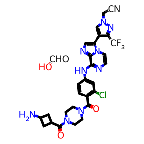 N#CCn1cc(-c2cnc3c(Nc4ccc(C(=O)N5CCN(C(=O)C6CC(N)C6)CC5)c(Cl)c4)nccn23)c(C(F)(F)F)n1.O=CO